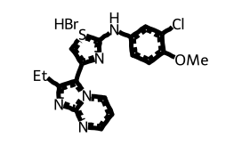 Br.CCc1nc2ncccn2c1-c1csc(Nc2ccc(OC)c(Cl)c2)n1